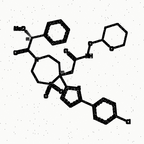 CO[C@@H](C(=O)N1CC[C@](CC(=O)NOC2CCCCO2)(c2ccc(-c3ccc(Cl)cc3)s2)S(=O)(=O)CC1)c1ccccc1